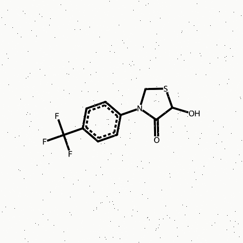 O=C1C(O)SCN1c1ccc(C(F)(F)F)cc1